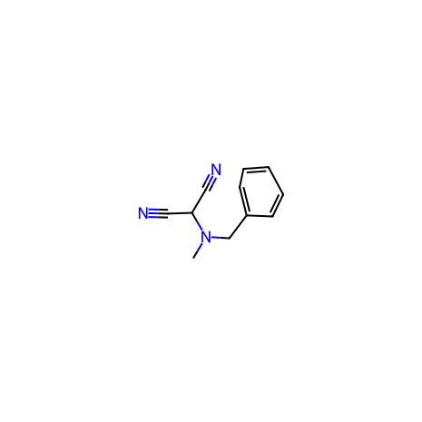 CN(Cc1ccccc1)C(C#N)C#N